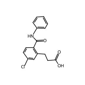 O=C(O)CCc1cc(Cl)ccc1C(=O)Nc1ccccc1